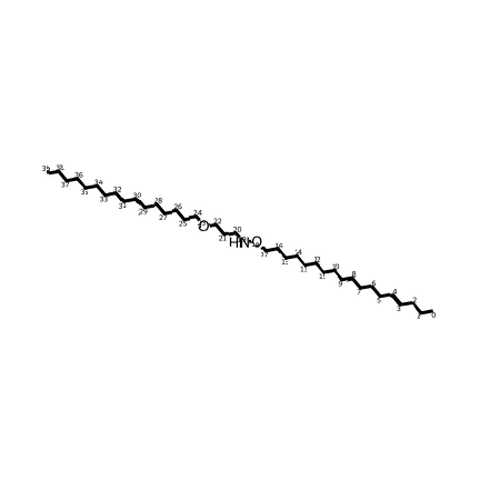 CCCCCCCCCCCCCCCCCCONCCCOCCCCCCCCCCCCCCCC